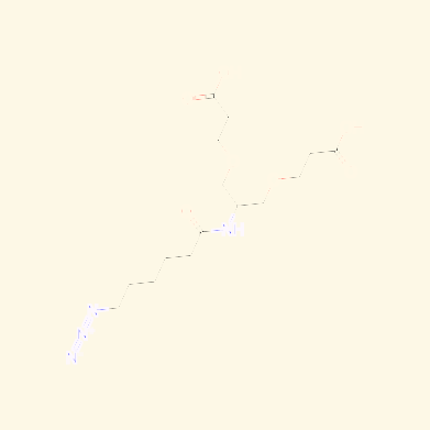 [N-]=[N+]=NCCCCCC(=O)NC(COCCC(=O)O)COCCC(=O)O